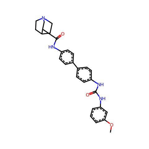 COc1cccc(NC(=O)Nc2ccc(-c3ccc(NC(=O)C4CN5CCC4CC5)cc3)cc2)c1